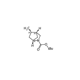 C[C@@H]1C[C@@H]2C[C@H]1CN2C(=O)OC(C)(C)C